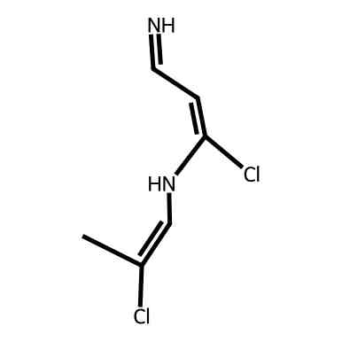 C/C(Cl)=C\N/C(Cl)=C\C=N